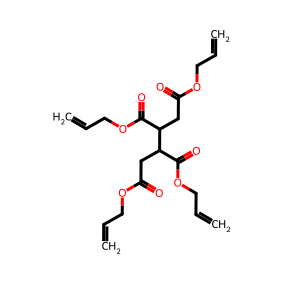 C=CCOC(=O)CC(C(=O)OCC=C)C(CC(=O)OCC=C)C(=O)OCC=C